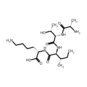 CC[C@H](C)[C@H](NC(=O)[C@@H](NC(=O)[C@H](C)N)[C@@H](C)O)C(=O)N[C@@H](CCCCN)C(=O)O